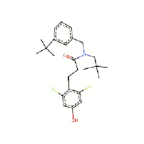 CC(C)(C)CN(Cc1cccc(C(C)(C)C)c1)C(=O)CCc1c(F)cc(O)cc1F